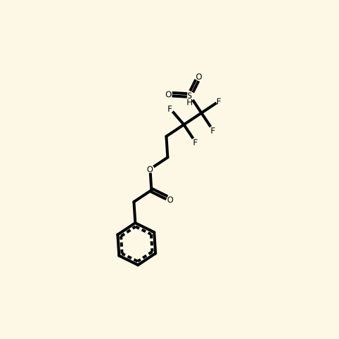 O=C(Cc1ccccc1)OCCC(F)(F)C(F)(F)[SH](=O)=O